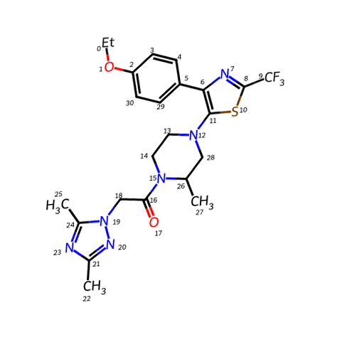 CCOc1ccc(-c2nc(C(F)(F)F)sc2N2CCN(C(=O)Cn3nc(C)nc3C)C(C)C2)cc1